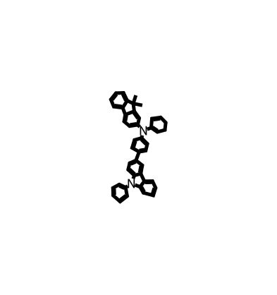 CC1(C)c2ccccc2-c2ccc(N(C3=CCCC=C3)c3ccc(-c4ccc5c(c4)c4ccccc4n5-c4ccccc4)cc3)cc21